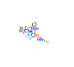 CC1(C)Cc2c([nH]c3ccccc23)[C@@H](c2cc(F)cc(OCCNCCCF)c2F)N1CC(F)(F)F